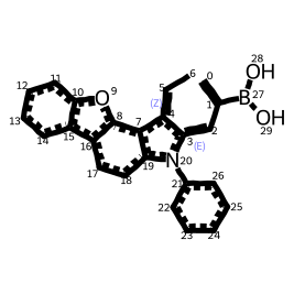 C=C(/C=c1\c(=C/C)c2c3oc4ccccc4c3ccc2n1-c1ccccc1)B(O)O